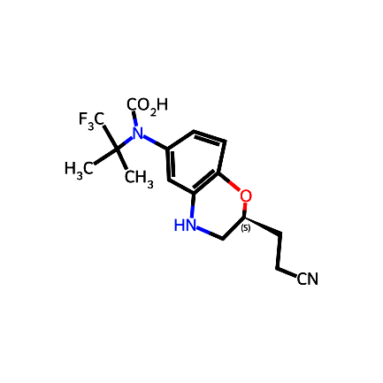 CC(C)(N(C(=O)O)c1ccc2c(c1)NC[C@H](CCC#N)O2)C(F)(F)F